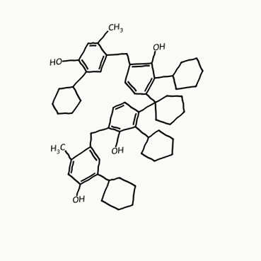 Cc1cc(O)c(C2CCCCC2)cc1Cc1ccc(C2(c3ccc(Cc4cc(C5CCCCC5)c(O)cc4C)c(O)c3C3CCCCC3)CCCCC2)c(C2CCCCC2)c1O